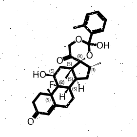 Cc1ccccc1C1(O)OCC(=O)[C@@]2(O1)[C@H](C)C[C@H]1[C@@H]3CCC4=CC(=O)CC[C@]4(C)[C@@]3(F)[C@@H](O)C[C@@]12C